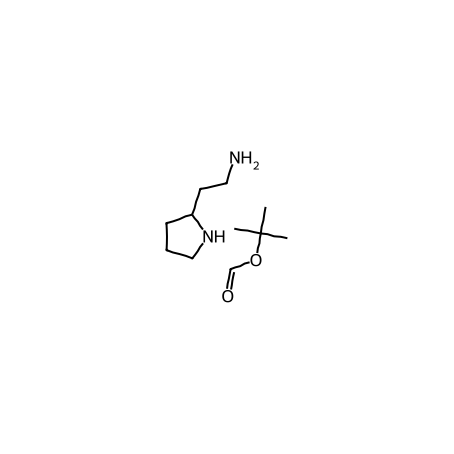 CC(C)(C)OC=O.NCCC1CCCN1